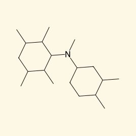 CC1CCC(N(C)C2C(C)C(C)CC(C)C2C)CC1C